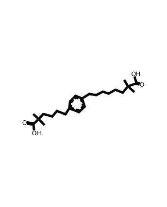 CC(C)(CCCCCCc1ccc(CCCCC(C)(C)C(=O)O)cc1)C(=O)O